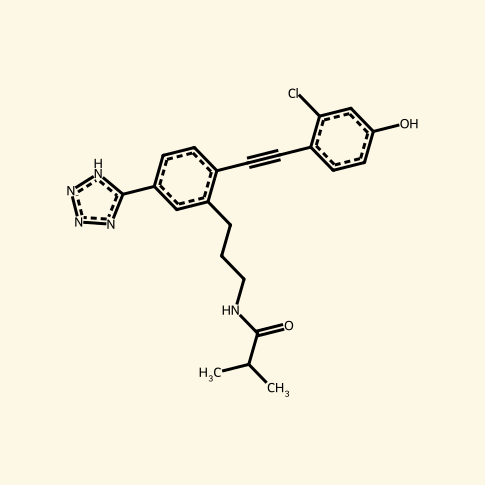 CC(C)C(=O)NCCCc1cc(-c2nnn[nH]2)ccc1C#Cc1ccc(O)cc1Cl